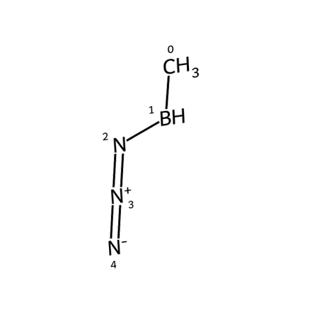 CBN=[N+]=[N-]